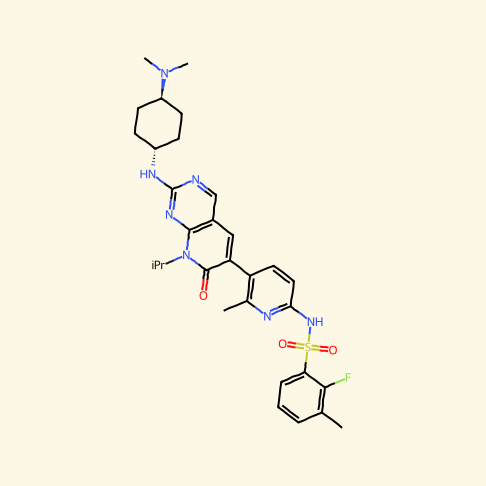 Cc1cccc(S(=O)(=O)Nc2ccc(-c3cc4cnc(N[C@H]5CC[C@H](N(C)C)CC5)nc4n(C(C)C)c3=O)c(C)n2)c1F